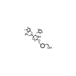 Cc1nc(CN(CC(C)C)C(=O)[C@H](Cc2cscn2)NC(=O)OCc2cccc(/C=C\O)c2)cs1